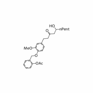 CCCCCC(O)CC(=O)CCc1ccc(OCc2ccccc2OC(C)=O)c(OC)c1